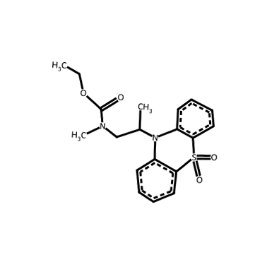 CCOC(=O)N(C)CC(C)N1c2ccccc2S(=O)(=O)c2ccccc21